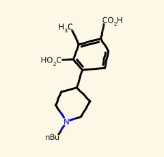 CCCCN1CCC(c2ccc(C(=O)O)c(C)c2C(=O)O)CC1